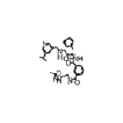 Cc1nnc(CN(C)C(=O)c2cccc(C(=O)N[C@@H](Cc3ccccc3)[C@H](O)CNCc3cncc(C(C)C)c3)c2)o1